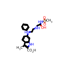 Cc1c(C(=O)O)[nH]c2cc(NCCNCC(O)NS(C)(=O)=O)ccc12.c1ccccc1